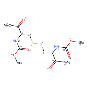 COC(=O)[C@H](CSSC[C@H](NC(=O)OC(C)(C)C)C(=O)OC)NC(=O)OC(C)(C)C